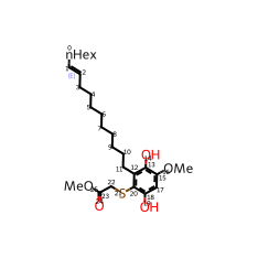 CCCCCC/C=C/CCCCCCCCCc1c(O)c(OC)cc(O)c1SCC(=O)OC